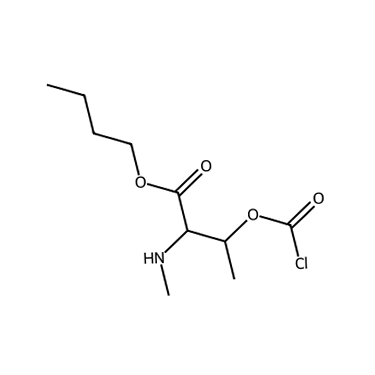 CCCCOC(=O)C(NC)C(C)OC(=O)Cl